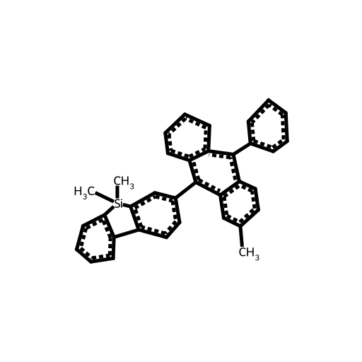 Cc1ccc2c(-c3ccccc3)c3ccccc3c(-c3ccc4c(c3)[Si](C)(C)c3ccccc3-4)c2c1